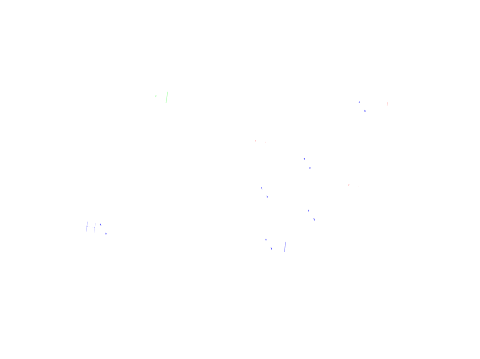 O=NCCN1C(=O)NC(Nc2ccc(OC3NC=CS3)cc2)N(Cc2ccc(Cl)cc2)C1=O